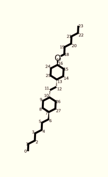 CCCCCCC[C@H]1CC[C@H](CC[C@H]2CC[C@H](OCCCCCC)CC2)CC1